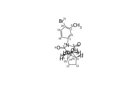 Cc1cc(N2C(=O)[C@@H]3[C@H](C2=O)[C@@H]2CC[C@@H]3C2(O)O)ccc1Br